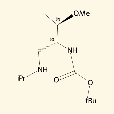 CO[C@H](C)[C@@H](CNC(C)C)NC(=O)OC(C)(C)C